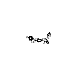 O=C(NC[C@@H]1CCCO1)c1nc[nH]c1C(=O)N[C@H]1CC[C@H](C(=O)Nc2ccc(F)cc2Cl)CC1